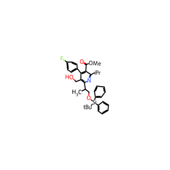 COC(=O)c1c(C(C)C)nc(C(C)CO[Si](c2ccccc2)(c2ccccc2)C(C)(C)C)c(CO)c1-c1ccc(F)cc1